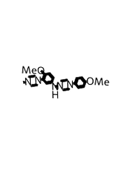 COc1ccc(N2CCN(Nc3ccc(OC)c(N4CCN(C)CC4)c3)CC2)cc1